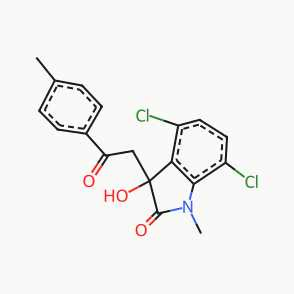 Cc1ccc(C(=O)CC2(O)C(=O)N(C)c3c(Cl)ccc(Cl)c32)cc1